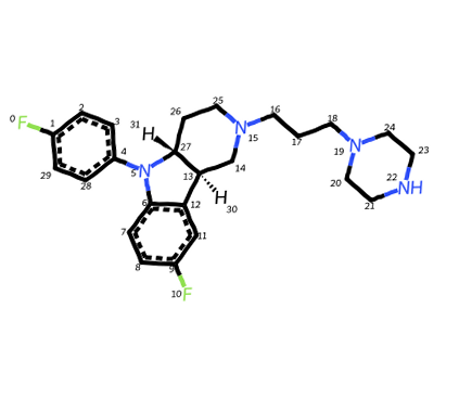 Fc1ccc(N2c3ccc(F)cc3[C@@H]3CN(CCCN4CCNCC4)CC[C@H]32)cc1